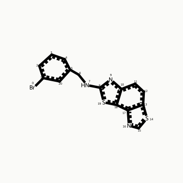 Brc1cccc(CNc2nc3ccc4scnc4c3s2)c1